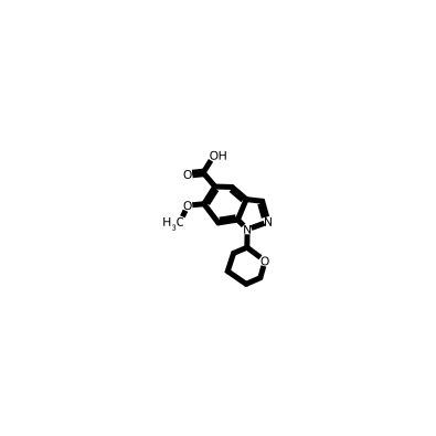 COc1cc2c(cnn2C2CCCCO2)cc1C(=O)O